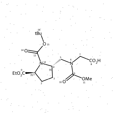 CCOC(=O)[C@@H]1CC[C@@H](CN(CC(=O)O)C(=O)OC)N1C(=O)OC(C)(C)C